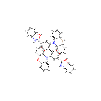 c1ccc2c(c1)Oc1ccccc1N2c1cc(-c2nc3ccccc3o2)ccc1-c1ccc(-c2nc3ccccc3o2)cc1N1c2ccccc2Sc2ccccc21